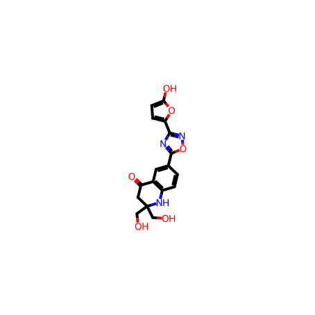 O=C1CC(CO)(CO)Nc2ccc(-c3nc(-c4ccc(O)o4)no3)cc21